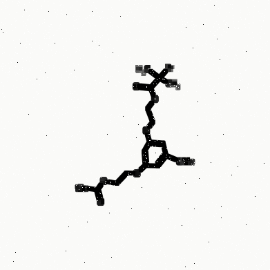 COc1cc(OCCOC(=O)C(C)(C)C)cc(OCCOC(=O)C(C)(C)Br)c1